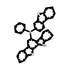 c1ccc(N(c2ccc3c(c2)oc2ccccc23)c2cc3c4ccccc4oc3c3[nH]c4ccccc4c23)cc1